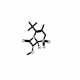 CO[C@H]1C(=O)N2C(C(C)(C)C)=C(C)CS(=O)(=O)[C@H]12